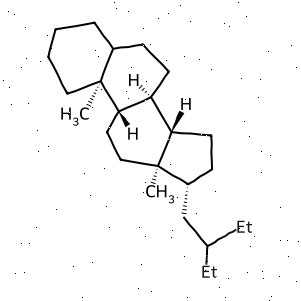 CCC(CC)C[C@H]1CC[C@H]2[C@@H]3CCC4CCCC[C@]4(C)[C@H]3CC[C@]12C